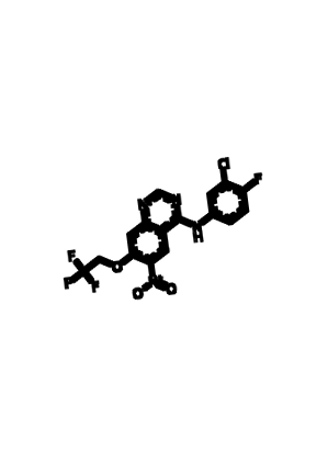 O=[N+]([O-])c1cc2c(Nc3ccc(F)c(Cl)c3)ncnc2cc1OCC(F)(F)F